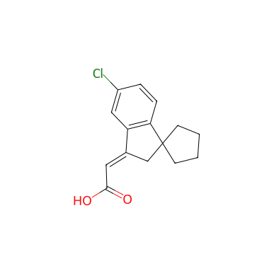 O=C(O)/C=C1\CC2(CCCC2)c2ccc(Cl)cc21